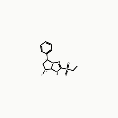 CCS(=O)(=O)C1=NN2C(N1)[C@@H](F)C[C@H]2c1ccccc1